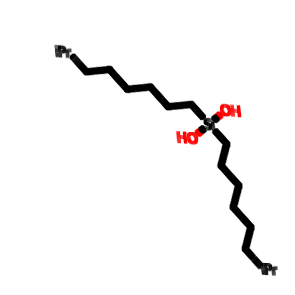 CC(C)CCCCCC[Si](O)(O)CCCCCCC(C)C